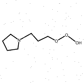 OOOCCCN1CCCC1